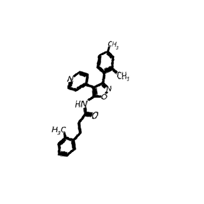 Cc1ccc(-c2noc(NC(=O)CCc3ccccc3C)c2-c2ccncc2)c(C)c1